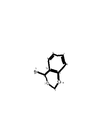 BrC1OCOc2ccc[c]c21